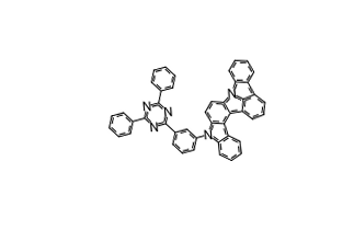 c1ccc(-c2nc(-c3ccccc3)nc(-c3cccc(-n4c5ccccc5c5c6c7cccc8c9ccccc9n(c6ccc54)c87)c3)n2)cc1